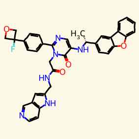 C[C@@H](Nc1cnc(-c2ccc(C3(F)COC3)cc2)n(CC(=O)NCc2cc3cnccc3[nH]2)c1=O)c1ccc2oc3ccccc3c2c1